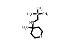 CC1(NC[Si](C)(C)C)CCOCC1